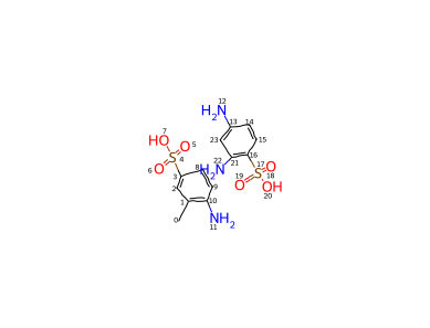 Cc1cc(S(=O)(=O)O)ccc1N.Nc1ccc(S(=O)(=O)O)c(N)c1